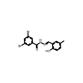 Cc1ccc(O)c(/C=N/NC(=O)c2cc(Br)cc(Br)c2)c1